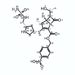 C[C@@H](O)[C@H]1C(=O)N2C(C(=O)OCc3ccc([N+](=O)[O-])cc3)=C(S[C@@H]3CN[C@H](CNS(N)(=O)=O)C3)[C@H](C)[C@H]12